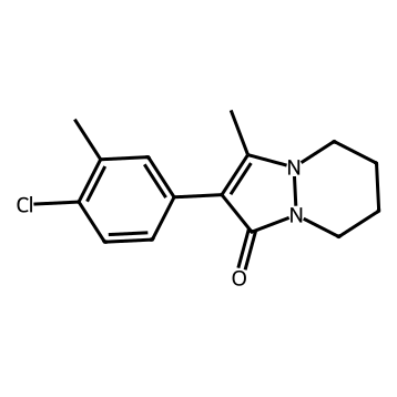 Cc1cc(-c2c(C)n3n(c2=O)CCCC3)ccc1Cl